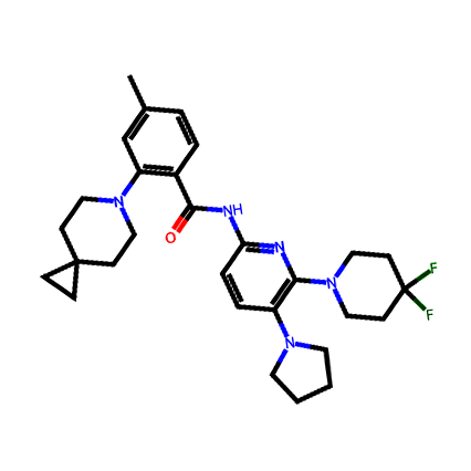 Cc1ccc(C(=O)Nc2ccc(N3CCCC3)c(N3CCC(F)(F)CC3)n2)c(N2CCC3(CC2)CC3)c1